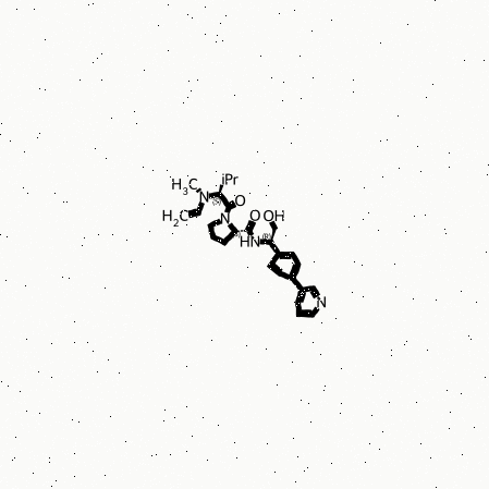 C=CN(C)[C@H](C(=O)N1CCC[C@H]1C(=O)N[C@@H](CO)c1ccc(-c2cccnc2)cc1)C(C)C